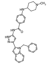 CN1CCC(Nc2ccc(C(=O)Nc3cc(-c4cc5ccccc5n4Cc4ccccc4)n[nH]3)cc2)CC1